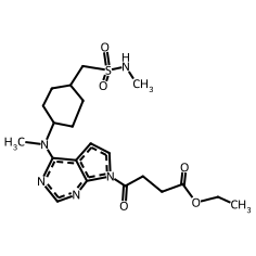 CCOC(=O)CCC(=O)n1ccc2c(N(C)C3CCC(CS(=O)(=O)NC)CC3)ncnc21